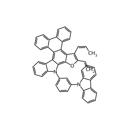 C=Cc1oc2c(c1/C=C\C)c1c3ccccc3c3ccccc3c1c1c3ccccc3n(-c3cccc(-n4c5ccccc5c5ccccc54)c3)c21